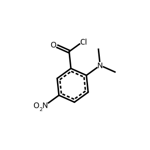 CN(C)c1ccc([N+](=O)[O-])cc1C(=O)Cl